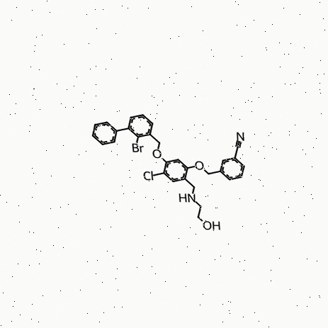 N#Cc1cccc(COc2cc(OCc3cccc(-c4ccccc4)c3Br)c(Cl)cc2CNCCO)c1